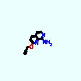 C#CCOc1ccc2ccnc(N)c2n1